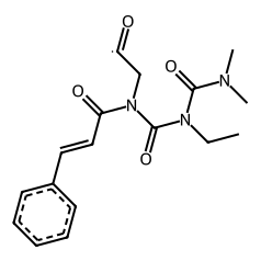 CCN(C(=O)N(C)C)C(=O)N(C[C]=O)C(=O)/C=C/c1ccccc1